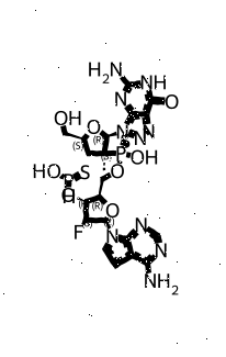 C[C@]1(P(O)(=S)OC[C@H]2O[C@@H](n3ccc4c(N)ncnc43)[C@@H](F)[C@@H]2O[PH](O)=S)C[C@@H](CO)O[C@H]1n1nnc2c(=O)[nH]c(N)nc21